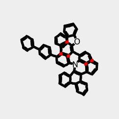 c1ccc(-c2ccc(-c3ccc(N(c4ccccc4-c4cccc5c4oc4ccccc45)c4c(-c5ccccc5)c5ccccc5c5ccccc45)cc3-c3ccccc3)cc2)cc1